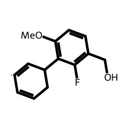 COc1ccc(CO)c(F)c1C1C=[C]C=CC1